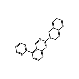 C1=CC2=CCN(c3ncc4c(-c5ccccn5)cccc4n3)CC2=CC1